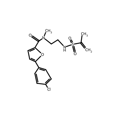 C=C(C)S(=O)(=O)NCCN(C)C(=O)c1ccc(-c2ccc(Cl)cc2)o1